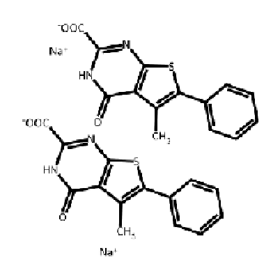 Cc1c(-c2ccccc2)sc2nc(C(=O)[O-])[nH]c(=O)c12.Cc1c(-c2ccccc2)sc2nc(C(=O)[O-])[nH]c(=O)c12.[Na+].[Na+]